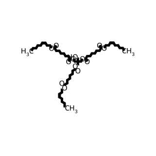 CCCCC/C=C\CCOC(=O)CCCCCCC(=O)OCC(CO)(COC(=O)CCCCCCC(=O)OCC/C=C\CCCCC)COC(=O)CCCCCCC(=O)OCC/C=C\CCCCC